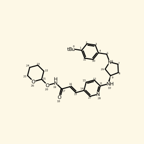 CC(C)(C)c1ccc(CN2CC[C@@H](Nc3ccc(C=CC(=O)NOC4CCCCO4)cn3)C2)cc1